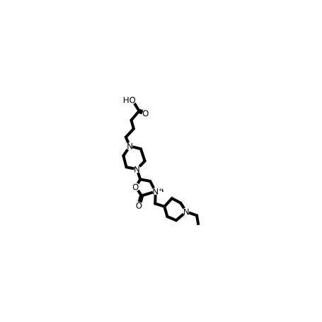 CCN1CCC(C[N+]2(C)CC(N3CCN(CCCC(=O)O)CC3)OC2=O)CC1